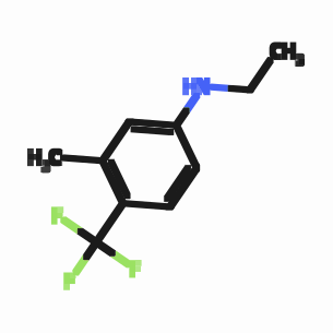 CCNc1ccc(C(F)(F)F)c(C)c1